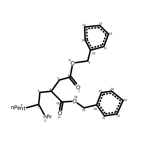 CCCCCC(CCC)CC(CC(=O)OCc1ccccc1)C(=O)OCc1ccccc1